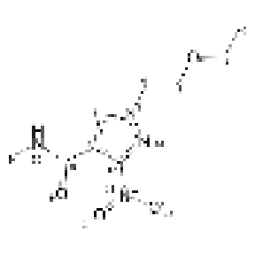 CCOCCn1cc(C(=O)NC)c([N+](=O)[O-])n1